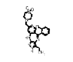 CCc1[nH]nc2c1N=C(c1ccccc1Cl)c1cnc(CN3CCS(=O)(=O)CC3)cc1N2